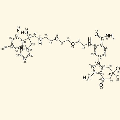 Cc1nn(-c2ccc(C(N)=O)c(NCCOCCOCCNCC(O)(Cn3cncn3)c3ccc(F)cc3F)c2)c2c1C(=O)CC(C)(C)C2